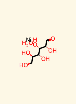 O.O=C[C@H](O)[C@@H](O)[C@H](O)[C@H](O)CO.[Ni]